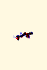 Cc1ncc(-c2ccc3nc(NC(=O)C4CCN(C5CCN(C(=O)C67CC(C(=O)N[C@H](C(=O)N8C[C@H](O)C[C@H]8C(=O)NCc8ccc(-c9scnc9C)cc8)C(C)(C)C)(C6)C7)CC5)CC4)sc3c2)cc1NC(=O)OC1CCCCC1